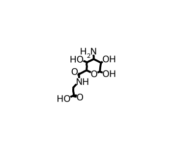 NC1C(O)C(O)OC(C(=O)NCC(=O)O)C1O